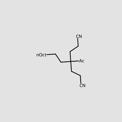 CCCCCCCCCCC(CCC#N)(CCC#N)C(C)=O